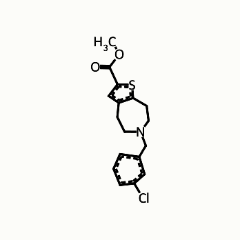 COC(=O)c1cc2c(s1)CCN(Cc1cccc(Cl)c1)CC2